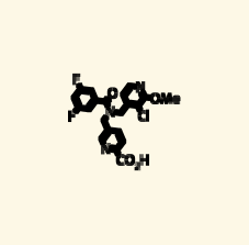 COc1nccc(CN(Cc2ccc(C(=O)O)nc2)C(=O)c2cc(F)cc(F)c2)c1Cl